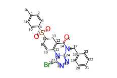 Cc1ccc(S(=O)(=O)c2ccc3c(c2)c(=O)n(Cc2ccccc2)c2nnc(Br)n32)cc1